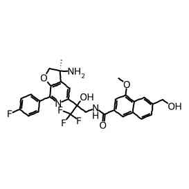 COc1cc(C(=O)NCC(O)(c2cc3c(c(-c4ccc(F)cc4)n2)OC[C@@]3(C)N)C(F)(F)F)cc2ccc(CO)cc12